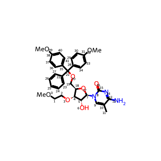 COCCO[C@H]1[C@@H](O)[C@H](n2cc(C)c(N)nc2=O)O[C@@H]1COC(c1ccccc1)(c1ccc(OC)cc1)c1ccc(OC)cc1